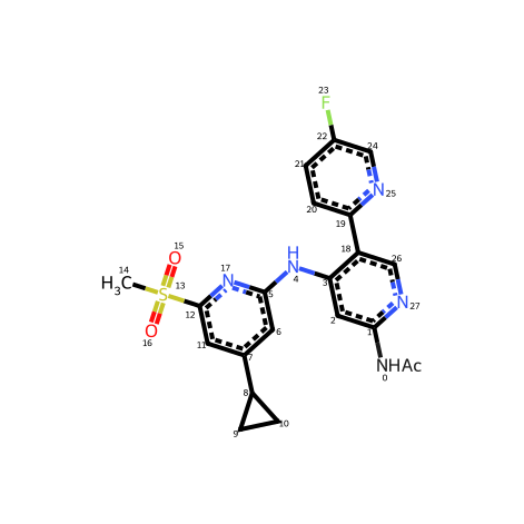 CC(=O)Nc1cc(Nc2cc(C3CC3)cc(S(C)(=O)=O)n2)c(-c2ccc(F)cn2)cn1